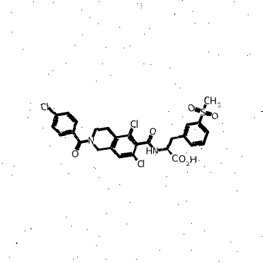 CS(=O)(=O)c1cccc(C[C@H](NC(=O)c2c(Cl)cc3c(c2Cl)CCN(C(=O)c2ccc(Cl)cc2)C3)C(=O)O)c1